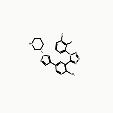 Nc1ncc(-c2cnn([C@H]3CCCNC3)c2)cc1-c1nnnn1-c1cccc(F)c1F